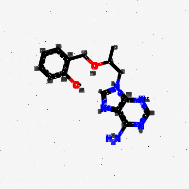 CC(Cn1cnc2c(N)ncnc21)OCc1ccccc1[O]